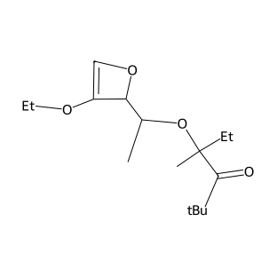 CCOC1=COC1C(C)OC(C)(CC)C(=O)C(C)(C)C